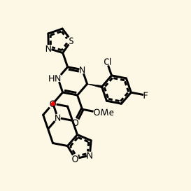 COC(=O)C1=C(CN2C3COCC2c2cnoc2C3)NC(c2nccs2)=N[C@H]1c1ccc(F)cc1Cl